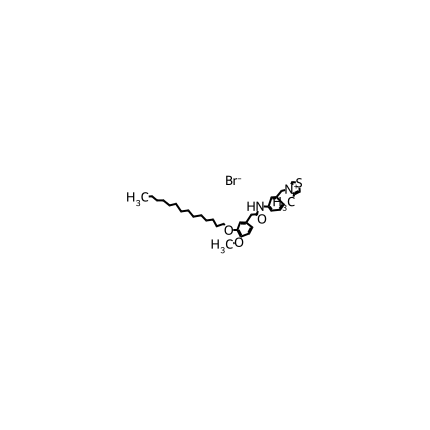 CCCCCCCCCCCCCCOc1cc(CC(=O)Nc2cccc(C[n+]3cscc3C)c2)ccc1OC.[Br-]